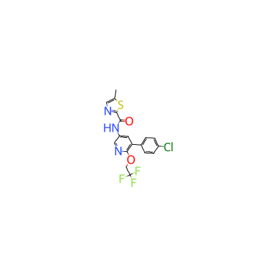 Cc1cnc(C(=O)Nc2cnc(OCC(F)(F)F)c(-c3ccc(Cl)cc3)c2)s1